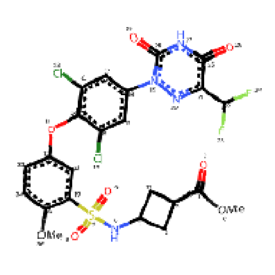 COC(=O)C1CC(NS(=O)(=O)c2cc(Oc3c(Cl)cc(-n4nc(C(F)F)c(=O)[nH]c4=O)cc3Cl)ccc2OC)C1